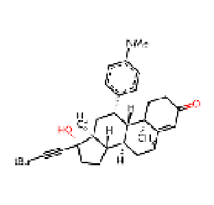 CNc1ccc([C@H]2C[C@@]3(C)[C@@H](CC[C@@]3(O)C#CC(C)(C)C)[C@@H]3CCC4=CC(=O)CC[C@]4(C)[C@H]32)cc1